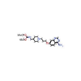 COOC(=NCC1CCN(CCCOc2ccc3c(N)ncnc3c2)CC1)OC(C)(C)C